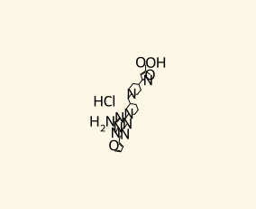 Cl.Nc1nc(N2CCCC(CN3CCC(c4cc(C(=O)O)on4)CC3)C2)nc2nc(-c3ccco3)nn12